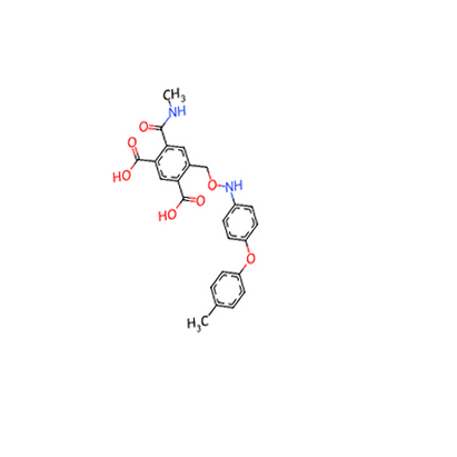 CNC(=O)c1cc(CONc2ccc(Oc3ccc(C)cc3)cc2)c(C(=O)O)cc1C(=O)O